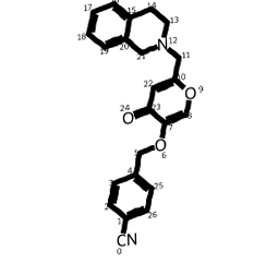 N#Cc1ccc(COc2coc(CN3CCc4ccccc4C3)cc2=O)cc1